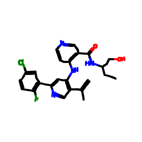 C=C(C)c1cnc(-c2cc(Cl)ccc2F)cc1Nc1ccncc1C(=O)NC(CC)CO